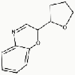 C1=Nc2ccccc2OC1C1CCCO1